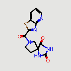 O=C1NC(=O)C2(CCN(C(=O)c3nc4ncccc4s3)C2)N1